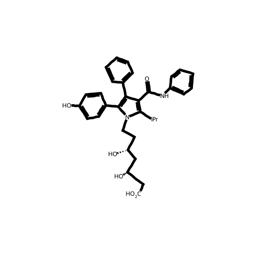 CC(C)c1c(C(=O)Nc2ccccc2)c(-c2ccccc2)c(-c2ccc(O)cc2)n1CC[C@@H](O)C[C@@H](O)CC(=O)O